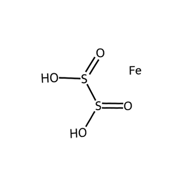 O=S(O)S(=O)O.[Fe]